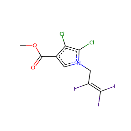 COC(=O)c1cn(CC(I)=C(I)I)c(Cl)c1Cl